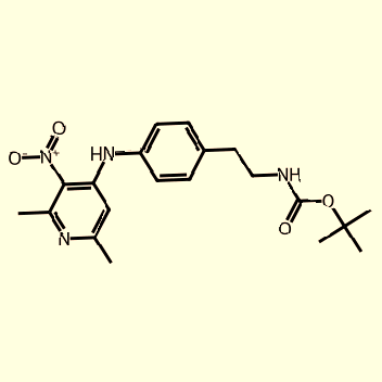 Cc1cc(Nc2ccc(CCNC(=O)OC(C)(C)C)cc2)c([N+](=O)[O-])c(C)n1